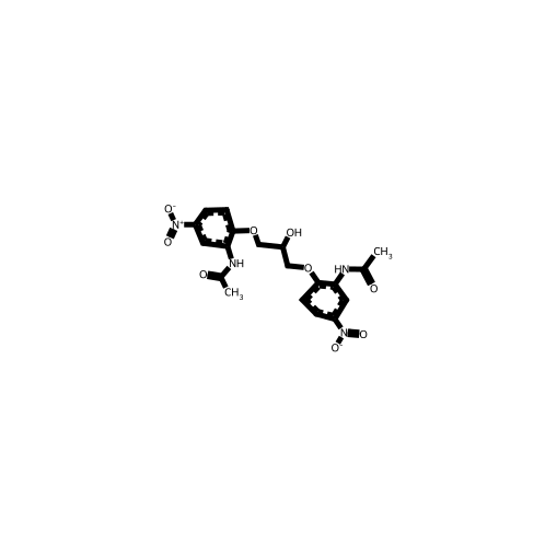 CC(=O)Nc1cc([N+](=O)[O-])ccc1OCC(O)COc1ccc([N+](=O)[O-])cc1NC(C)=O